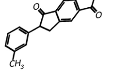 Cc1cccc(C2Cc3cc4c(cc3C2=O)CCC4=O)c1